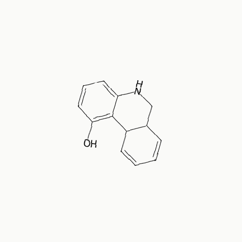 Oc1cccc2c1C1C=CC=CC1CN2